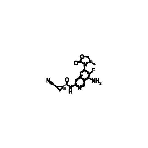 C[C@@H]1COC(=O)N1c1cc2cc(NC(=O)[C@@H]3CC3C#N)ncc2c(N)c1F